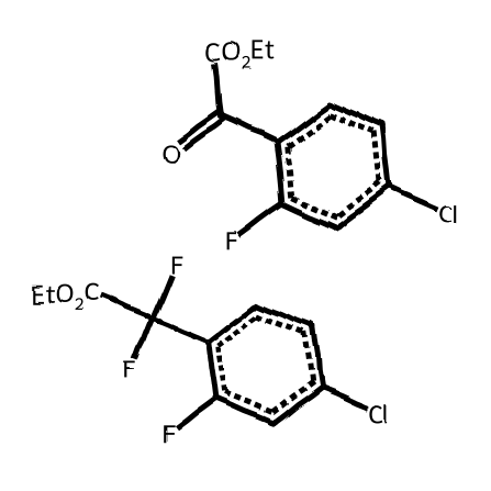 CCOC(=O)C(=O)c1ccc(Cl)cc1F.CCOC(=O)C(F)(F)c1ccc(Cl)cc1F